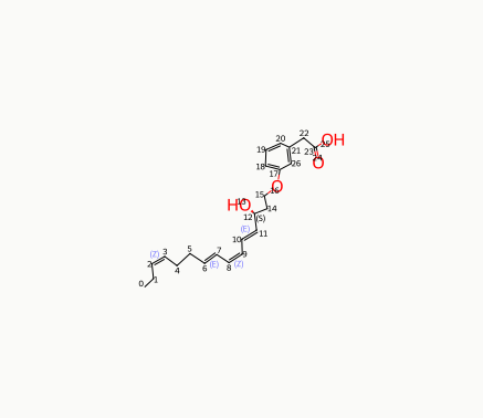 CC/C=C\CC/C=C/C=C\C=C\[C@@H](O)CCOc1cccc(CC(=O)O)c1